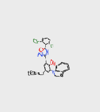 CC(C)(C)c1cc(-c2noc(-c3c(Cl)cccc3Cl)n2)c(O)c(-n2ccc3ccccc32)c1